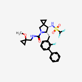 COC1(CNC(=O)N2CC3(CC3)[C@H](NS(=O)(=O)C(F)F)[C@@H]2Cc2cccc(-c3ccccc3)c2F)CC1